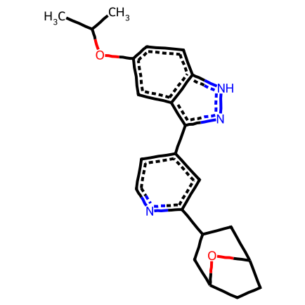 CC(C)Oc1ccc2[nH]nc(-c3ccnc(C4CC5CCC(C4)O5)c3)c2c1